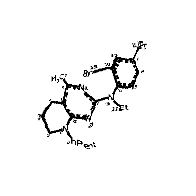 CCCCCN1CCCc2c(C)nc(N(CC)c3ccc(C(C)C)cc3Br)nc21